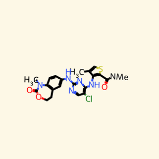 CNC(=O)c1scc(C)c1Nc1nc(Nc2ccc3c(c2)CCOC(=O)N3C)ncc1Cl